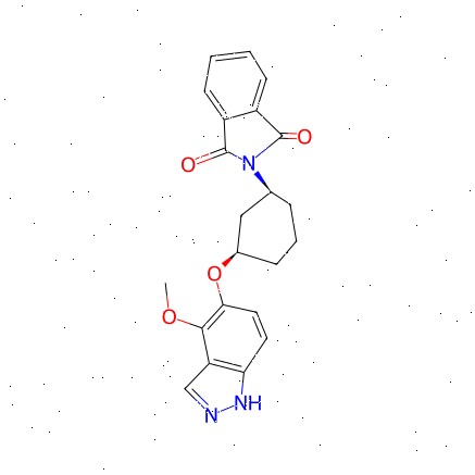 COc1c(O[C@@H]2CCC[C@H](N3C(=O)c4ccccc4C3=O)C2)ccc2[nH]ncc12